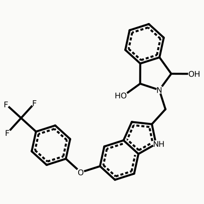 OC1c2ccccc2C(O)N1Cc1cc2cc(Oc3ccc(C(F)(F)F)cc3)ccc2[nH]1